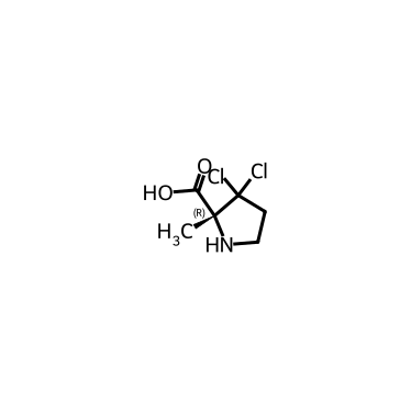 C[C@]1(C(=O)O)NCCC1(Cl)Cl